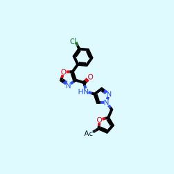 CC(=O)c1ccc(Cn2cc(NC(=O)c3ncoc3-c3cccc(Cl)c3)cn2)o1